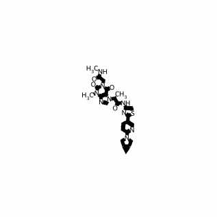 CNC(=O)Cn1c(=O)c2c(ncn2[C@@H](C)C(=O)Nc2csc(-c3ccc(N4CC5CC5C4)nc3)n2)n(C)c1=O